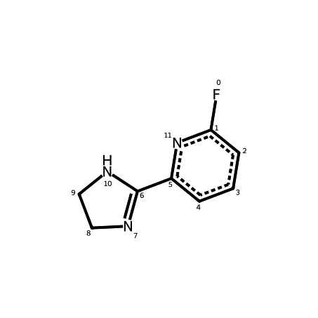 Fc1cccc(C2=NCCN2)n1